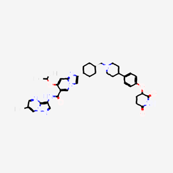 Cc1cnc2c(NC(=O)c3cn4cc([C@H]5CC[C@H](CN6CCC(c7ccc(OC8CCC(=O)NC8=O)cc7)CC6)CC5)nc4cc3OC(C)C)cnn2c1